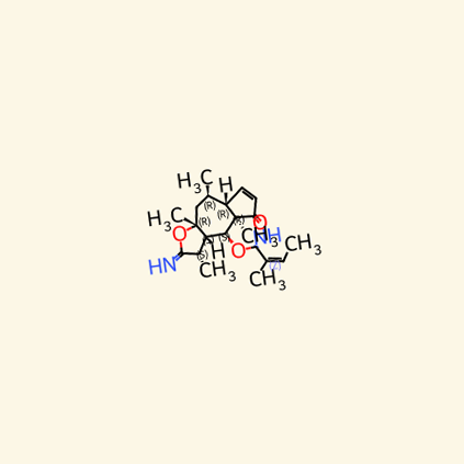 C/C=C(/C)C(=N)O[C@H]1[C@@H]2[C@H](C)C(=N)O[C@]2(C)C[C@@H](C)[C@@H]2C=CC(=O)[C@]21C